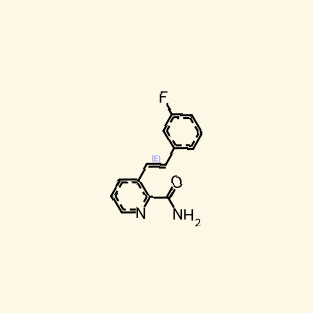 NC(=O)c1ncccc1/C=C/c1cccc(F)c1